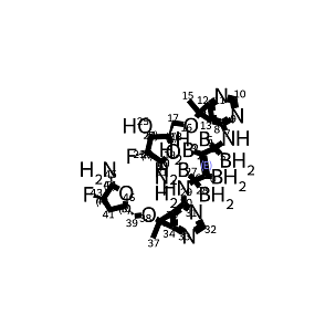 B/C(=C(/B)C(B)(B)Nc1ncnc2c1C2(C)OC[C@H]1O[C@@H](N)[C@H](F)[C@@H]1O)C(B)(B)Nc1ncnc2c1C2(C)OC[C@@H]1C[C@@H](F)[C@H](N)O1